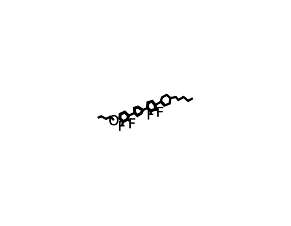 CCCCCC1CC=C(c2ccc(-c3ccc(-c4ccc(OCCCC)c(F)c4F)cc3)c(F)c2F)CC1